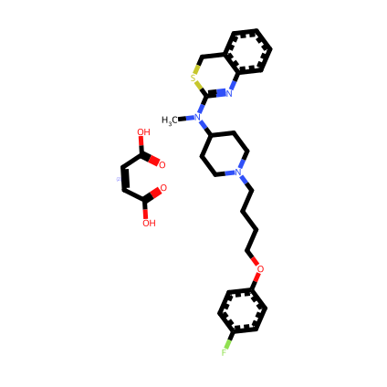 CN(C1=Nc2ccccc2CS1)C1CCN(CCCCOc2ccc(F)cc2)CC1.O=C(O)/C=C\C(=O)O